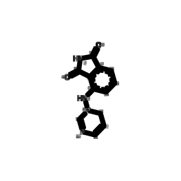 O=C1NC(=O)c2c(NN3C=NC=CC3)cccc21